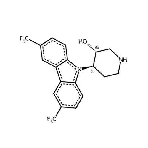 O[C@@H]1CNCC[C@H]1n1c2ccc(C(F)(F)F)cc2c2cc(C(F)(F)F)ccc21